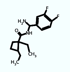 CCC1CCC1(CC)C(=O)NC(N)c1ccc(F)c(F)c1